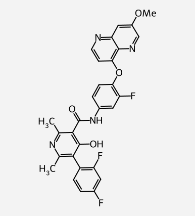 COc1cnc2c(Oc3ccc(NC(=O)c4c(C)nc(C)c(-c5ccc(F)cc5F)c4O)cc3F)ccnc2c1